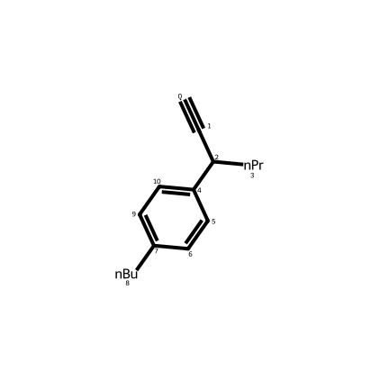 [C]#CC(CCC)c1ccc(CCCC)cc1